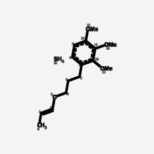 CC=COCCCc1ccc(OC)c(OC)c1OC.[SiH4]